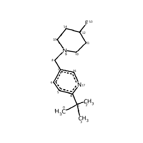 CC(C)(C)c1ccc(CN2CCC(F)CC2)cn1